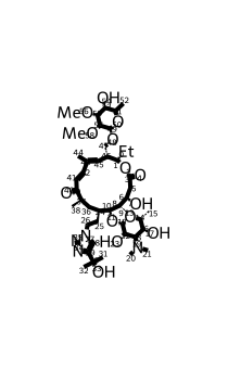 CC[C@H]1OC(=O)C[C@@H](O)[C@H](C)[C@@H](O[C@@H]2O[C@H](C)[C@@H](O)C(N(C)C)C2O)[C@@H](CCn2cc(C(C)(C)O)nn2)C[C@@H](C)C(=O)/C=C/C(C)=C/[C@@H]1CO[C@@H]1OC(C)[C@@H](O)[C@H](OC)C1OC